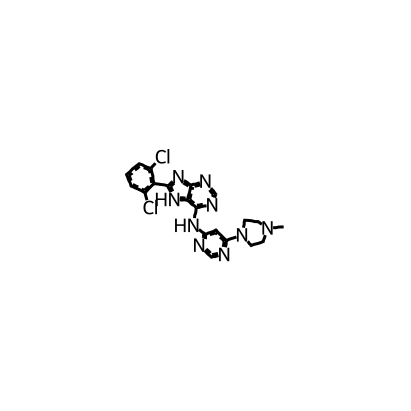 CN1CCN(c2cc(Nc3ncnc4nc(-c5c(Cl)cccc5Cl)[nH]c34)ncn2)CC1